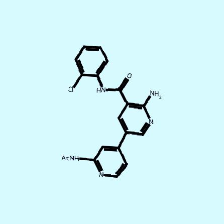 CC(=O)Nc1cc(-c2cnc(N)c(C(=O)Nc3ccccc3Cl)c2)ccn1